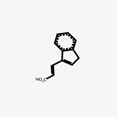 O=C(O)C=CC1=CCc2ccccc21